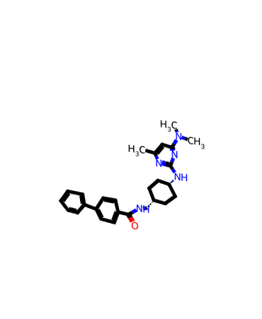 Cc1cc(N(C)C)nc(N[C@H]2CC[C@@H](CNC(=O)c3ccc(-c4ccccc4)cc3)CC2)n1